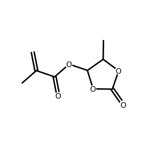 C=C(C)C(=O)OC1OC(=O)OC1C